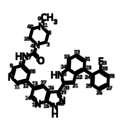 CN1CCN(C(=O)Nc2cncc(-c3cnc4[nH]nc(-c5cc6c(-c7ccccc7F)cccc6[nH]5)c4c3)c2)CC1